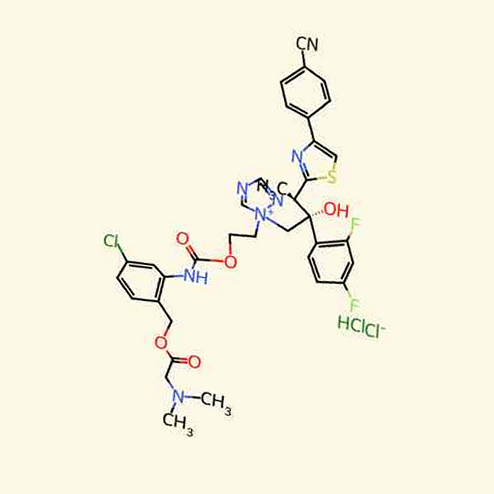 C[C@@H](c1nc(-c2ccc(C#N)cc2)cs1)[C@](O)(C[N+]1(CCOC(=O)Nc2cc(Cl)ccc2COC(=O)CN(C)C)C=NC=N1)c1ccc(F)cc1F.Cl.[Cl-]